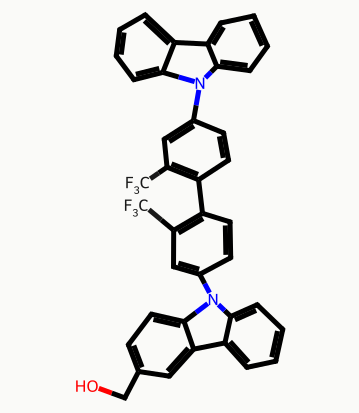 OCc1ccc2c(c1)c1ccccc1n2-c1ccc(-c2ccc(-n3c4ccccc4c4ccccc43)cc2C(F)(F)F)c(C(F)(F)F)c1